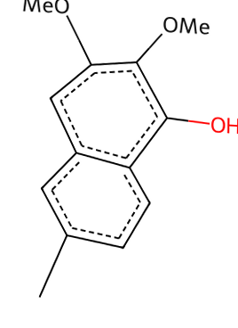 COc1cc2cc(C)ccc2c(O)c1OC